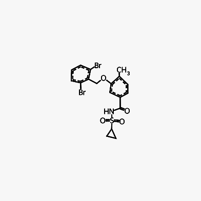 Cc1ccc(C(=O)NS(=O)(=O)C2CC2)cc1OCc1c(Br)cccc1Br